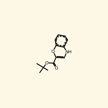 CC(C)(C)OC(=O)C1=CNc2ccccc2O1